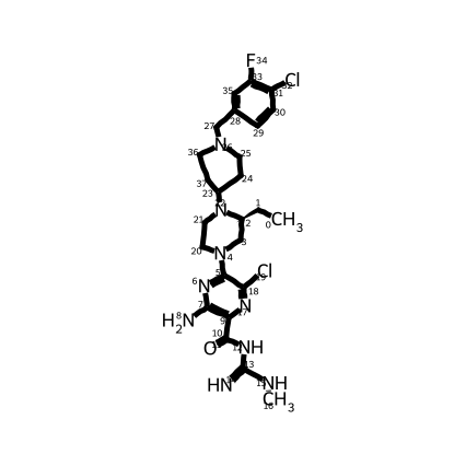 CC[C@H]1CN(c2nc(N)c(C(=O)NC(=N)NC)nc2Cl)CCN1C1CCN(Cc2ccc(Cl)c(F)c2)CC1